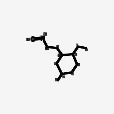 CCC1CCC(C)CC1CCN=O